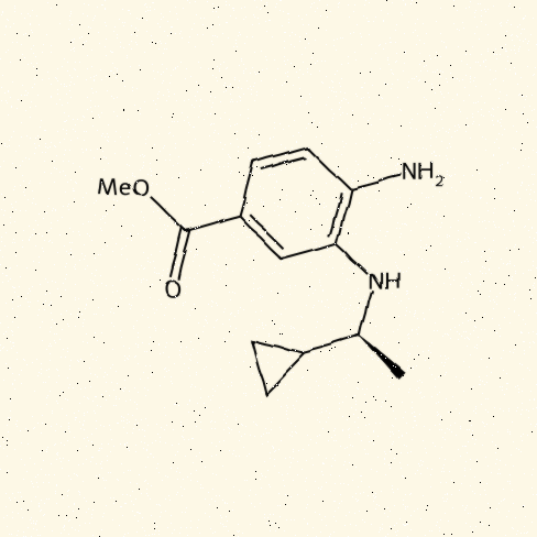 COC(=O)c1ccc(N)c(N[C@@H](C)C2CC2)c1